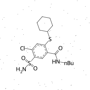 CCCCNC(=O)c1cc(S(N)(=O)=O)c(Cl)cc1SC1CCCCC1